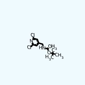 CC(C)(C)OC(=O)NCc1cc(Cl)nc(Cl)c1